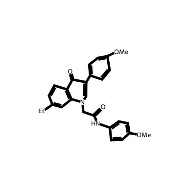 CCc1ccc2c(=O)c(-c3ccc(OC)cc3)cn(CC(=O)Nc3ccc(OC)cc3)c2c1